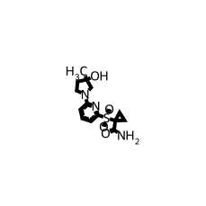 CC1(O)CCN(c2cccc(S(=O)(=O)C3(C(N)=O)CC3)n2)C1